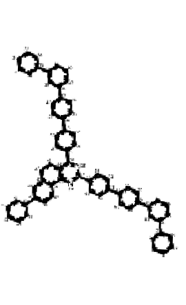 c1ccc(-c2cccc(-c3ccc(-c4ccc(-c5nc(-c6ccc(-c7ccc(-c8cccc(-c9ccccc9)c8)cc7)cc6)c6ccc7cc(-c8ccccc8)ccc7c6n5)cc4)cc3)c2)cc1